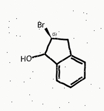 OC1c2ccccc2C[C@@H]1Br